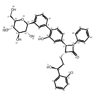 O=C1[C@H](CC[C@H](O)c2ccccc2Cl)[C@@H](c2ccc(-c3cccc([C@@H]4O[C@H](CO)[C@@H](O)[C@H](O)[C@H]4O)c3)c(O)c2)N1c1ccccc1